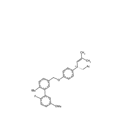 COc1ccc(F)c(-c2cc(COc3ccc([C@H](C=C(C)C)CC(C)=O)cc3)ccc2C(C)(C)C)c1